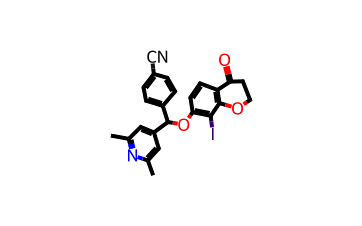 Cc1cc(C(Oc2ccc3c(c2I)OCCC3=O)c2ccc(C#N)cc2)cc(C)n1